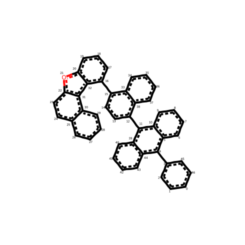 c1ccc(-c2c3ccccc3c(-c3ccc(-c4cccc5oc6ccc7ccccc7c6c45)c4ccccc34)c3ccccc23)cc1